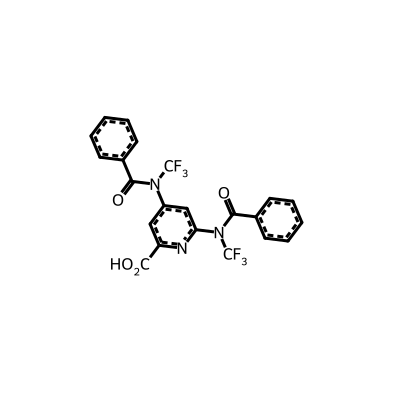 O=C(O)c1cc(N(C(=O)c2ccccc2)C(F)(F)F)cc(N(C(=O)c2ccccc2)C(F)(F)F)n1